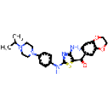 CC(C)N1CCN(c2ccc(Nc3nc(N)c(C(=O)c4ccc5c(c4)OCCO5)s3)cc2)CC1